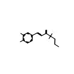 CCCC(N)(N)C(=O)/C=C/c1ccc(O)c(O)c1